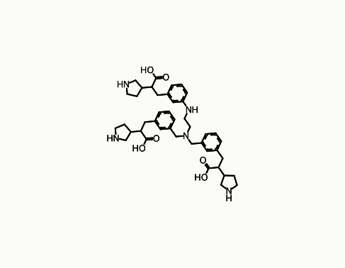 O=C(O)C(Cc1cccc(CN(CCNc2cccc(CC(C(=O)O)C3CCNC3)c2)Cc2cccc(CC(C(=O)O)C3CCNC3)c2)c1)C1CCNC1